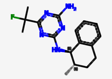 C[C@H]1CCc2ccccc2[C@@H]1Nc1nc(N)nc(C(C)(C)F)n1